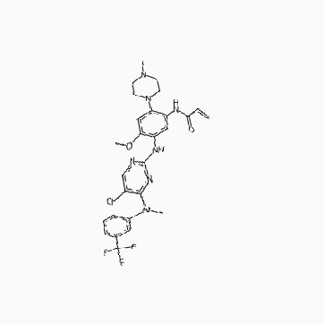 C=CC(=O)Nc1cc(Nc2ncc(Cl)c(N(C)c3cccc(C(F)(F)F)c3)n2)c(OC)cc1N1CCN(C)CC1